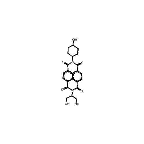 O=C1c2ccc3c4c(ccc(c24)C(=O)N1C(CO)CO)C(=O)N(C1CCC(O)CC1)C3=O